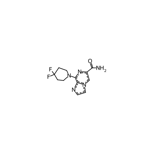 NC(=O)c1cn2ccnc2c(N2CCC(F)(F)CC2)n1